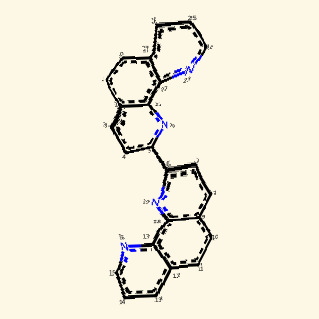 [c]1cc2ccc(-c3ccc4c[c]c5cccnc5c4n3)nc2c2ncccc12